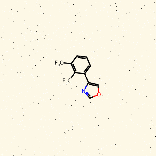 FC(F)(F)c1cccc(-c2co[c]n2)c1C(F)(F)F